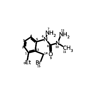 CCc1cccc(N(N)C(=O)N(C)N)c1CBr